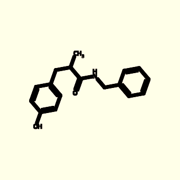 C[C](Cc1ccc(O)cc1)C(=O)NCc1ccccc1